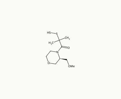 COC[C@H]1COCCN1C(=O)C(C)(C)SS